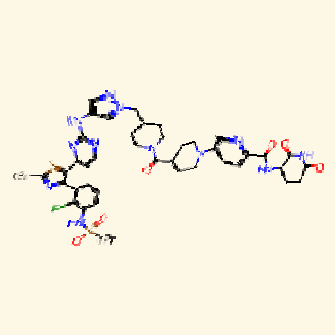 CCCS(=O)(=O)Nc1cccc(-c2nc(C(C)(C)C)sc2-c2ccnc(Nc3cnn(CC4CCN(C(=O)C5CCN(c6ccc(C(=O)N[C@@H]7CCC(=O)NC7=O)nc6)CC5)CC4)c3)n2)c1F